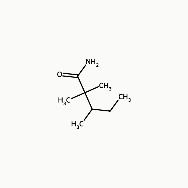 CCC(C)C(C)(C)C(N)=O